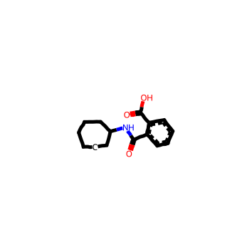 O=C(O)c1ccccc1C(=O)NC1C[CH]CCCC1